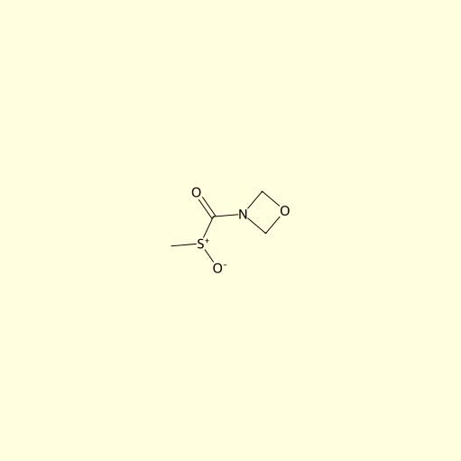 C[S+]([O-])C(=O)N1COC1